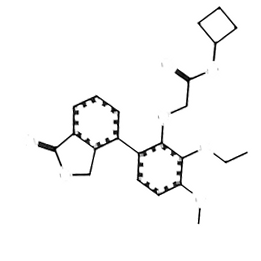 CCOc1c(OC)ccc(-c2cccc3c2COC3=O)c1OCC(=O)OC1CCC1